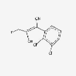 N#CC(=C(O)CF)c1cccc(Cl)c1Cl